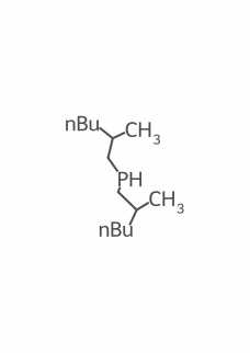 CCCCC(C)CPCC(C)CCCC